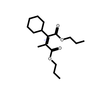 CCCOC(=O)/C(C)=C(\C(=O)OCCC)C1CCCCC1